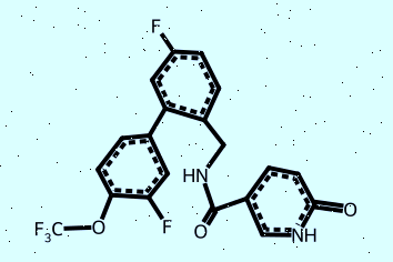 O=C(NCc1ccc(F)cc1-c1ccc(OC(F)(F)F)c(F)c1)c1ccc(=O)[nH]c1